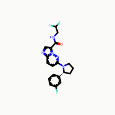 O=C(NCC(F)F)c1cnc2ccc(N3CCC[C@@H]3c3cccc(F)c3)nn12